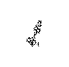 COC1=NS(=O)(=O)N(C2CCCCC2)C(NCCCOc2cccc3c2CCCC3N2CCCCC2)=N1